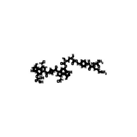 Cc1c[nH]c2c(OC(=O)N(C)CCN(C)C(=O)OCc3ccc(NC(=O)C(CCCN)NC(N)=O)cc3)cc3c(c12)[C@H](CCl)CN3C(=O)C12CC(C(=O)N3C[C@@H](CCl)c4c3cc(OP(=O)(O)O)c3[nH]cc(C)c43)(C1)C2